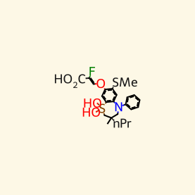 CCC[C@]1(C)CN(c2ccccc2)c2cc(SC)c(O/C=C(\F)C(=O)O)cc2S(O)(O)C1